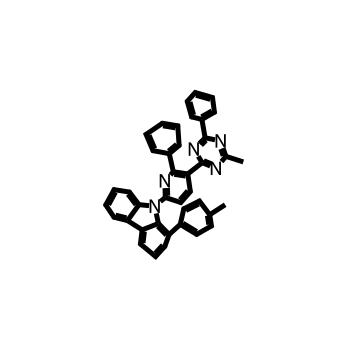 Cc1ccc(-c2cccc3c4ccccc4n(-c4ccc(-c5nc(C)nc(-c6ccccc6)n5)c(-c5ccccc5)n4)c23)cc1